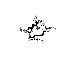 N=C(N)NCCC[C@H](N)C(=O)O.N[C@@H](Cc1c[nH]cn1)C(=O)O